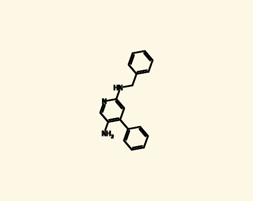 Nc1cnc(NCc2ccccc2)cc1-c1ccccc1